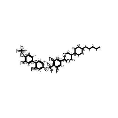 CCCCCC1CCC(C2COC(c3cc(F)c(C(F)(F)Oc4ccc(-c5ccc(OC(F)(F)F)c(F)c5)c(F)c4)c(F)c3)OC2)CC1